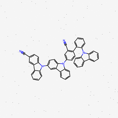 N#Cc1ccc2c(c1)c1ccccc1n2-c1ccc2c(c1)c1ccccc1n2-c1ccc(-c2ccccc2-n2c3ccccc3c3ccccc32)c(C#N)c1